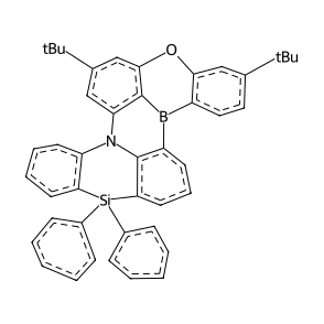 CC(C)(C)c1ccc2c(c1)Oc1cc(C(C)(C)C)cc3c1B2c1cccc2c1N3c1ccccc1[Si]2(c1ccccc1)c1ccccc1